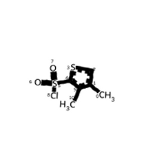 Cc1csc(S(=O)(=O)Cl)c1C